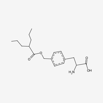 CCCC(CCC)C(=O)OCc1ccc(CC(N)C(=O)O)cc1